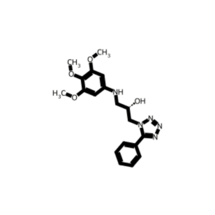 COc1cc(NC[C@H](O)Cn2nnnc2-c2ccccc2)cc(OC)c1OC